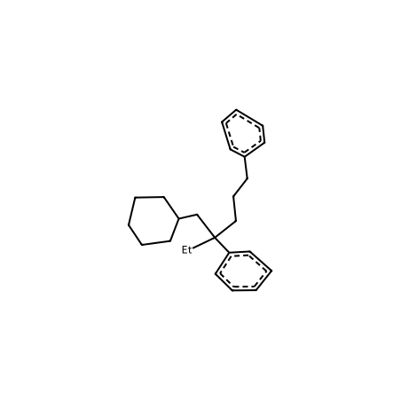 [CH2]CC(CCCc1ccccc1)(CC1CCCCC1)c1ccccc1